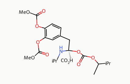 COC(=O)Oc1ccc(C[C@](NC(C)C)(OC(=O)OC(C)C(C)C)C(=O)O)cc1OC(=O)OC